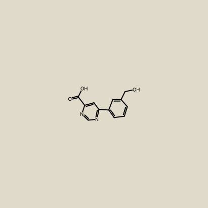 O=C(O)c1cc(-c2cccc(CO)c2)ncn1